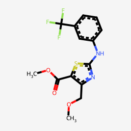 COCc1nc(Nc2cccc(C(F)(F)F)c2)sc1C(=O)OC